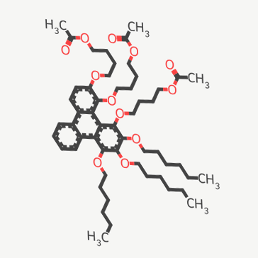 CCCCCCOc1c(OCCCCCC)c(OCCCCOC(C)=O)c2c3c(OCCCCOC(C)=O)c(OCCCCOC(C)=O)ccc3c3ccccc3c2c1OCCCCCC